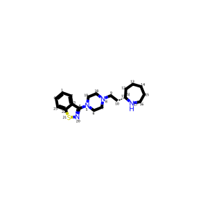 c1ccc2c(N3CCN(CC[C@@H]4CCCCCN4)CC3)nsc2c1